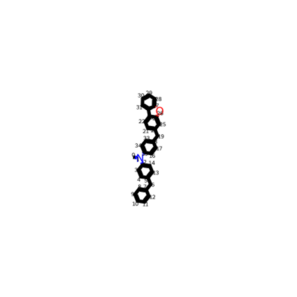 CN(c1ccc(Cc2ccccc2)cc1)c1ccc(Cc2ccc3c(c2)oc2ccccc23)cc1